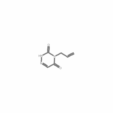 C=CCn1c(=O)cn[nH]c1=O